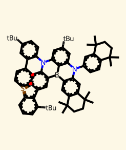 CC(C)(C)c1ccc(N2c3cc4sc5cccc(C(C)(C)C)c5c4cc3B3c4cc5c(cc4N(c4ccc6c(c4)C(C)(C)CCC6(C)C)c4cc(C(C)(C)C)cc2c43)C(C)(C)CCC5(C)C)c(-c2ccccc2)c1